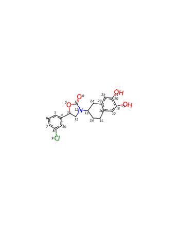 O=C1OC(c2cccc(Cl)c2)CN1C1CCc2cc(O)c(O)cc2C1